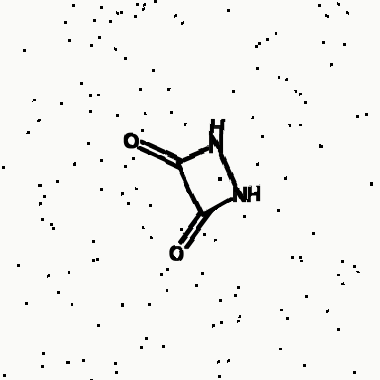 O=C1NNC1=O